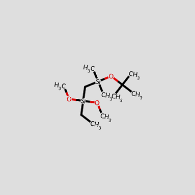 CC[Si](C[Si](C)(C)OC(C)(C)C)(OC)OC